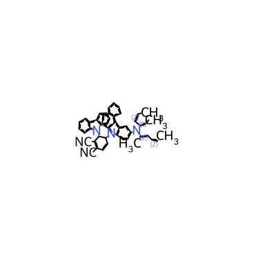 C/C=C\C=C(/C)N(C(/C=C\C)=C/C)c1ccc2c(c1)c1c3ccccc3ccc1n2C1C=CC(C#N)=C(C#N)C1n1c2ccccc2c2ccccc21